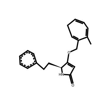 CC1=CC=CCC=C1COC1=CC(=O)N[C@H]1CCc1ccccc1